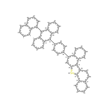 c1ccc2c(-c3c4ccccc4c(-c4ccc(-c5cc6sc7c8ccccc8ccc7c6c6ccccc56)cc4)c4ccccc34)cccc2c1